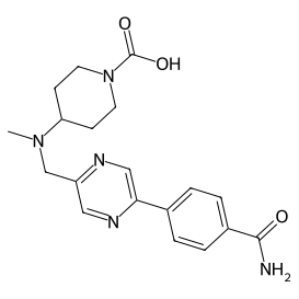 CN(Cc1cnc(-c2ccc(C(N)=O)cc2)cn1)C1CCN(C(=O)O)CC1